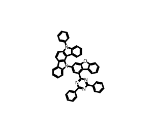 c1ccc(-c2nc(-c3ccccc3)nc(-c3cc(-n4c5ccccc5c5ccc6c(c7ccccc7n6-c6ccccc6)c54)cc4oc5ccccc5c34)n2)cc1